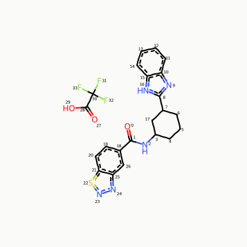 O=C(NC1CCCC(c2nc3ccccc3[nH]2)C1)c1ccc2snnc2c1.O=C(O)C(F)(F)F